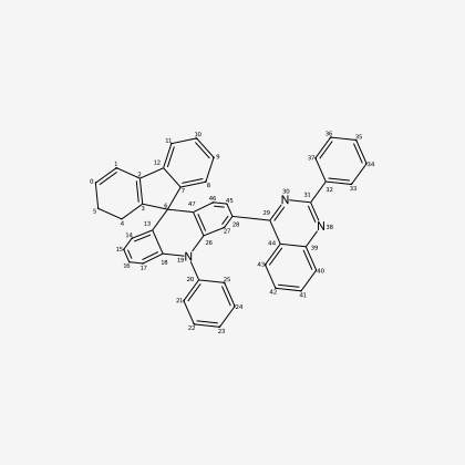 C1=CC2=C(CC1)C1(c3ccccc32)c2ccccc2N(c2ccccc2)c2cc(-c3nc(-c4ccccc4)nc4ccccc34)ccc21